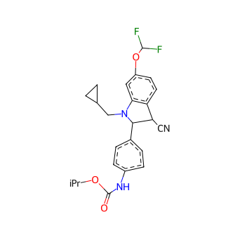 CC(C)OC(=O)Nc1ccc(C2C(C#N)c3ccc(OC(F)F)cc3N2CC2CC2)cc1